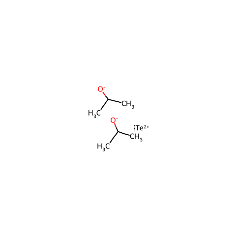 CC(C)[O-].CC(C)[O-].[Te+2]